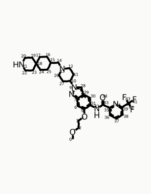 COCCOc1cc2nn(C3CCN(CC4CCC5(CCNCC5)CC4)CC3)cc2cc1NC(=O)c1cccc(C(F)(F)F)n1